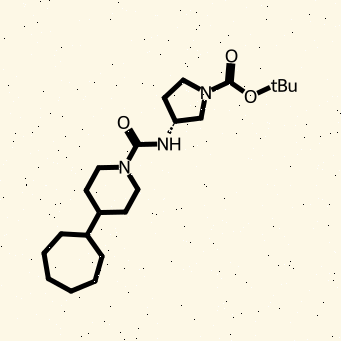 CC(C)(C)OC(=O)N1CC[C@@H](NC(=O)N2CCC(C3CCCCCC3)CC2)C1